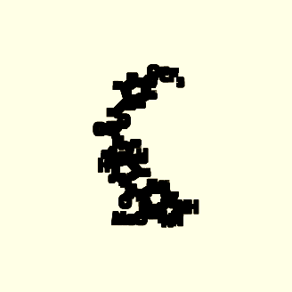 COc1c(C(=O)N2C[C@H]3CN(C(=O)OCc4ccc(OC(F)(F)F)cc4)C[C@@H]3C2)ccc2[nH]nnc12